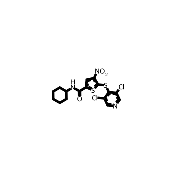 O=C(NC1CCCCC1)c1cc([N+](=O)[O-])c(Sc2c(Cl)cncc2Cl)s1